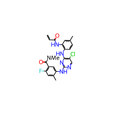 C=CC(=O)Nc1cc(C)ccc1Nc1nc(Nc2cc(C(=O)NC)c(F)cc2C)ncc1Cl